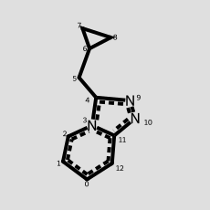 c1ccn2c(CC3CC3)nnc2c1